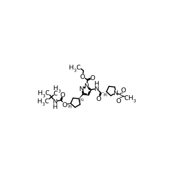 CCOC(=O)n1nc([C@H]2CC[C@@H](OC(=O)NC(C)(C)C)C2)cc1NC(=O)[C@@H]1CCN(S(C)(=O)=O)C1